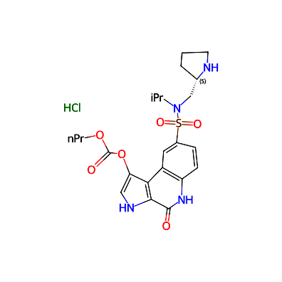 CCCOC(=O)Oc1c[nH]c2c(=O)[nH]c3ccc(S(=O)(=O)N(C[C@@H]4CCCN4)C(C)C)cc3c12.Cl